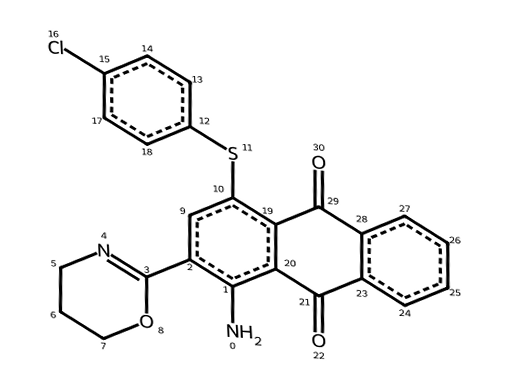 Nc1c(C2=NCCCO2)cc(Sc2ccc(Cl)cc2)c2c1C(=O)c1ccccc1C2=O